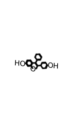 OC1=CCC(C2=C(C3=CC=CCC3)c3ccc(O)cc3OC2)C=C1